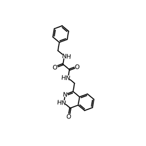 O=C(NCc1ccccc1)C(=O)NCc1n[nH]c(=O)c2ccccc12